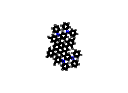 Cc1cc(C)c(-c2cc3c4c(cc5c(-c6c(C)cc(C)cc6C)cc6c7c(cc2c4c57)B2c4ccc(C)cc4N(c4ccccc4)c4cc(N(c5ccccc5)c5ccccc5)cc-6c42)B2c4ccc(N(c5ccccc5)c5ccccc5)cc4N(c4ccccc4)c4cc(C)cc-3c42)c(C)c1